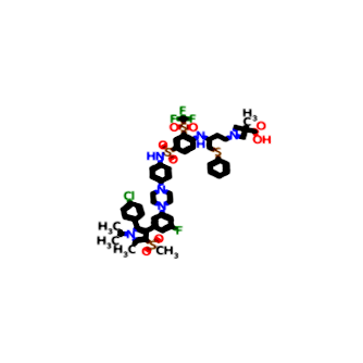 Cc1c(S(C)(=O)=O)c(-c2cc(F)cc(N3CCN(c4ccc(NS(=O)(=O)c5ccc(NC(CCN6CC(C)(C(=O)O)C6)CSc6ccccc6)c(S(=O)(=O)C(F)(F)F)c5)cc4)CC3)c2)c(-c2ccc(Cl)cc2)n1C(C)C